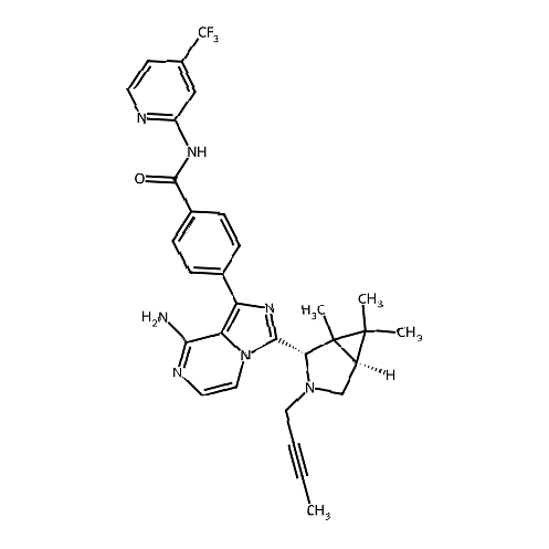 CC#CCN1C[C@@H]2C(C)(C)C2(C)[C@H]1c1nc(-c2ccc(C(=O)Nc3cc(C(F)(F)F)ccn3)cc2)c2c(N)nccn12